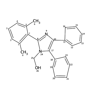 Cc1cccc(C)c1-c1nc(-c2ccccc2)c(-c2ccccc2)n1CO